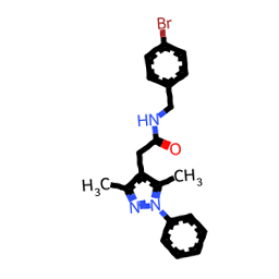 Cc1nn(-c2ccccc2)c(C)c1CC(=O)NCc1ccc(Br)cc1